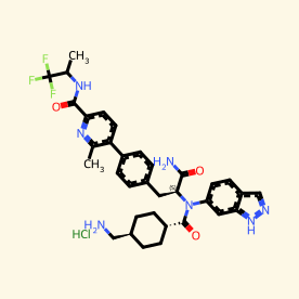 Cc1nc(C(=O)NC(C)C(F)(F)F)ccc1-c1ccc(C[C@@H](C(N)=O)N(c2ccc3cn[nH]c3c2)C(=O)[C@H]2CC[C@H](CN)CC2)cc1.Cl